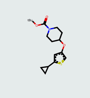 CC(C)(C)OC(=O)N1CCC(Oc2csc(C3CC3)c2)CC1